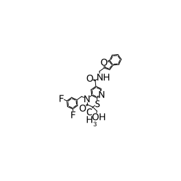 CC1(CO)Sc2ncc(C(=O)NCc3cc4ccccc4o3)cc2N(Cc2cc(F)cc(F)c2)C1=O